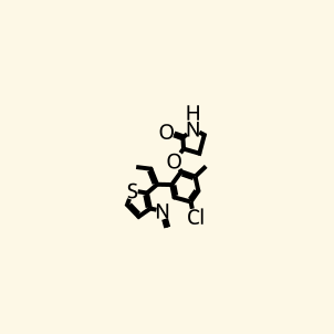 C=Nc1ccsc1/C(=C\C)c1cc(Cl)cc(C)c1OC1CCNC1=O